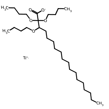 CCCCCCCCCCCCCCCC(OCCCC)C(OCCCC)(OCCCC)C(=O)[O-].[Ti+]